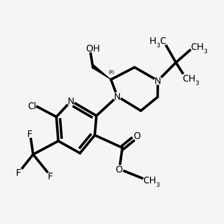 COC(=O)c1cc(C(F)(F)F)c(Cl)nc1N1CCN(C(C)(C)C)C[C@@H]1CO